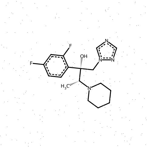 C[C@@H](N1CCCCC1)[C@](O)(Cn1cncn1)c1ccc(F)cc1F